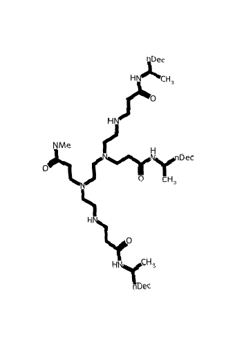 CCCCCCCCCCC(C)NC(=O)CCNCCN(CCC(=O)NC)CCN(CCNCCC(=O)NC(C)CCCCCCCCCC)CCC(=O)NC(C)CCCCCCCCCC